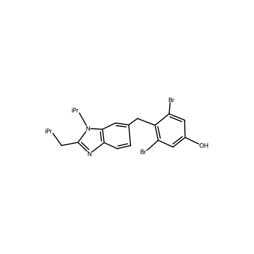 CC(C)Cc1nc2ccc(Cc3c(Br)cc(O)cc3Br)cc2n1C(C)C